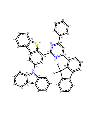 CC1(C)c2ccccc2-c2cccc(-c3cc(-c4ccccc4)nc(-c4cc(-n5c6ccccc6c6ccccc65)cc5c4sc4ccccc45)n3)c21